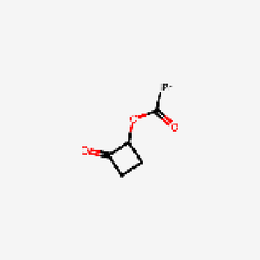 CC(C)C(=O)OC1CCC1=O